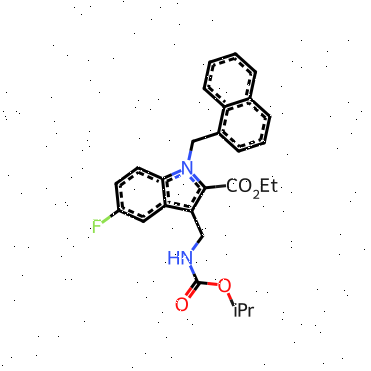 CCOC(=O)c1c(CNC(=O)OC(C)C)c2cc(F)ccc2n1Cc1cccc2ccccc12